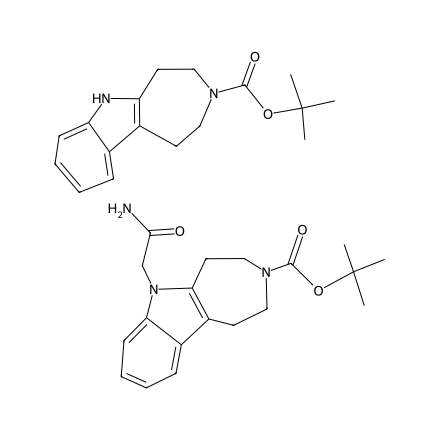 CC(C)(C)OC(=O)N1CCc2[nH]c3ccccc3c2CC1.CC(C)(C)OC(=O)N1CCc2c(n(CC(N)=O)c3ccccc23)CC1